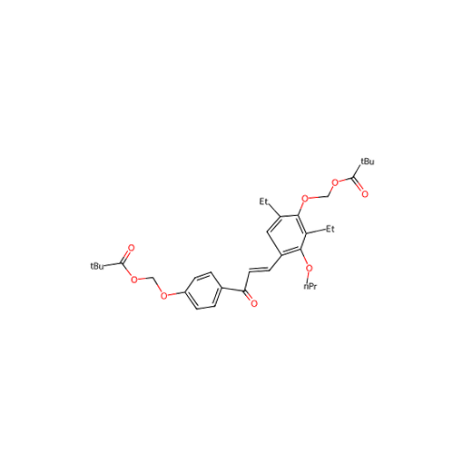 CCCOc1c(/C=C/C(=O)c2ccc(OCOC(=O)C(C)(C)C)cc2)cc(CC)c(OCOC(=O)C(C)(C)C)c1CC